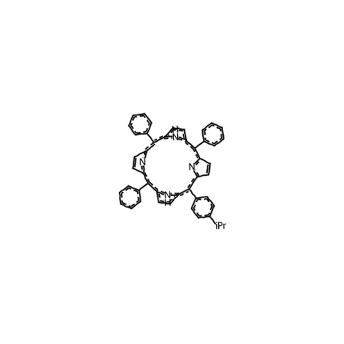 CC(C)c1ccc(-c2c3nc(c(-c4ccccc4)c4ccc([nH]4)c(-c4ccccc4)c4nc(c(-c5ccccc5)c5ccc2[nH]5)C=C4)C=C3)cc1